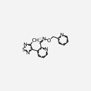 Cc1nsnc1-c1cccnc1/C=N\OCc1ccccn1